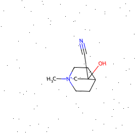 C[N+]12CCC(CC1)C(O)(C#N)C2